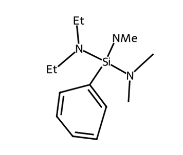 CCN(CC)[Si](NC)(c1ccccc1)N(C)C